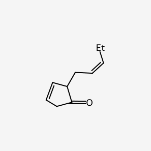 CC/C=C\CC1C=CCC1=O